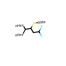 CCCCCCC(CCCCCC)C(CC(F)F)SSC